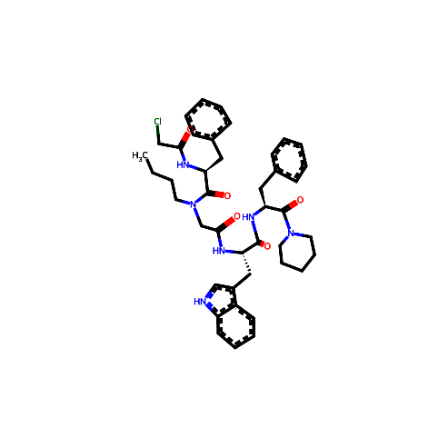 CCCCN(CC(=O)N[C@@H](Cc1c[nH]c2ccccc12)C(=O)N[C@@H](Cc1ccccc1)C(=O)N1CCCCC1)C(=O)[C@H](Cc1ccccc1)NC(=O)CCl